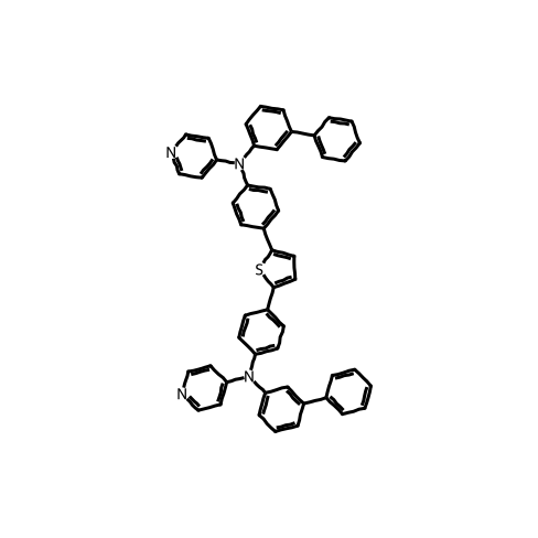 c1ccc(-c2cccc(N(c3ccncc3)c3ccc(-c4ccc(-c5ccc(N(c6ccncc6)c6cccc(-c7ccccc7)c6)cc5)s4)cc3)c2)cc1